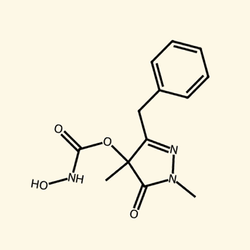 CN1N=C(Cc2ccccc2)C(C)(OC(=O)NO)C1=O